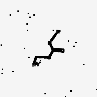 CCCCOC(=O)OBr